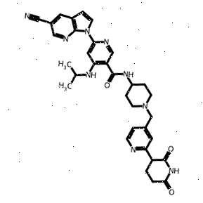 CC(C)Nc1cc(-n2ccc3cc(C#N)cnc32)ncc1C(=O)NC1CCN(Cc2ccnc(C3CCC(=O)NC3=O)c2)CC1